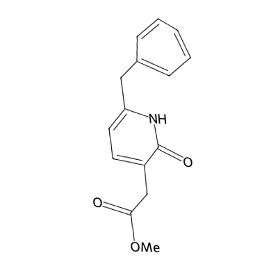 COC(=O)Cc1ccc(Cc2ccccc2)[nH]c1=O